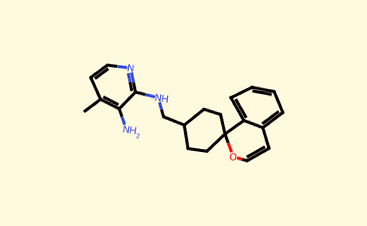 Cc1ccnc(NCC2CCC3(CC2)OC=Cc2ccccc23)c1N